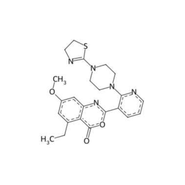 CCc1cc(OC)cc2nc(-c3cccnc3N3CCN(C4=NCCS4)CC3)oc(=O)c12